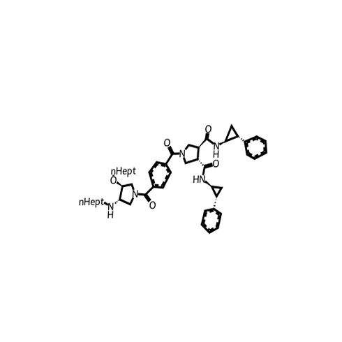 CCCCCCCN[C@H]1CN(C(=O)c2ccc(C(=O)N3C[C@@H](C(=O)N[C@H]4C[C@@H]4c4ccccc4)[C@H](C(=O)N[C@H]4C[C@@H]4c4ccccc4)C3)cc2)C[C@@H]1OCCCCCCC